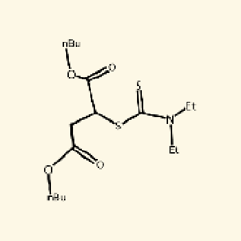 CCCCOC(=O)CC(SC(=S)N(CC)CC)C(=O)OCCCC